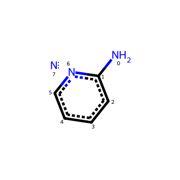 Nc1ccccn1.[N]